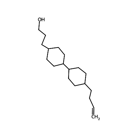 C=CCCC1CCC(C2CCC(CCCO)CC2)CC1